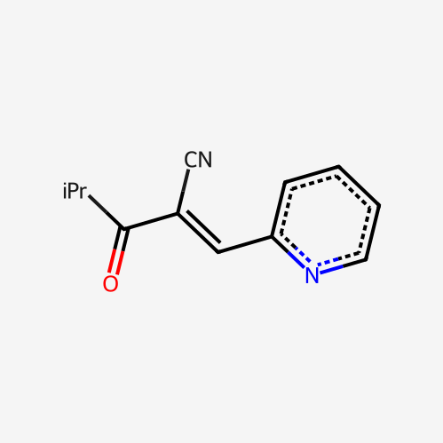 CC(C)C(=O)/C(C#N)=C/c1ccccn1